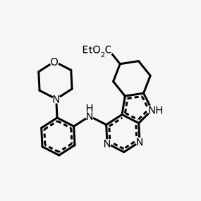 CCOC(=O)C1CCc2[nH]c3ncnc(Nc4ccccc4N4CCOCC4)c3c2C1